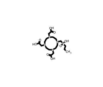 CCCP(=O)(O)CN1CCN(CC(=O)O)CCN(CC(=O)O)CCN(CC(=O)O)CC1